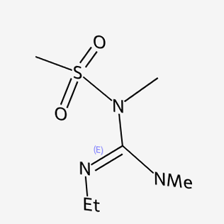 CC/N=C(\NC)N(C)S(C)(=O)=O